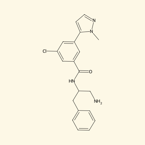 Cn1nccc1-c1cc(Cl)cc(C(=O)NC(CN)Cc2ccccc2)c1